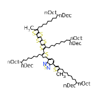 CCCCCCCCCCC(CCCCCCCC)CCCCCCCCc1c(C)sc2c1sc1c2sc2c3sc(-c4sc(-c5ccc(-c6cc(CCCCCCCC(CCCCCCCC)CCCCCCCCCC)c(C)s6)c6nsnc56)cc4CCCCCCCC(CCCCCCCC)CCCCCCCCCC)c(CCCCCCCCC(CCCCCCCC)CCCCCCCCCC)c3sc21